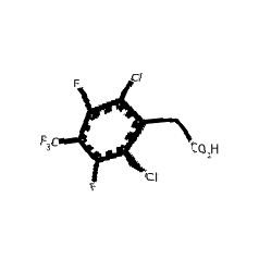 O=C(O)Cc1c(Cl)c(F)c(C(F)(F)F)c(F)c1Cl